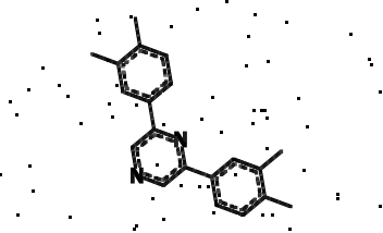 Cc1ccc(-c2cncc(-c3ccc(C)c(C)c3)n2)cc1C